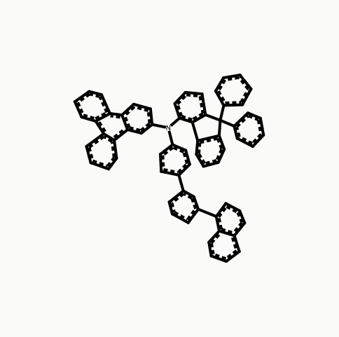 c1ccc(C2(c3ccccc3)c3ccccc3-c3c(N(c4ccc(-c5cccc(-c6cccc7ccccc67)c5)cc4)c4ccc5c6ccccc6c6ccccc6c5c4)cccc32)cc1